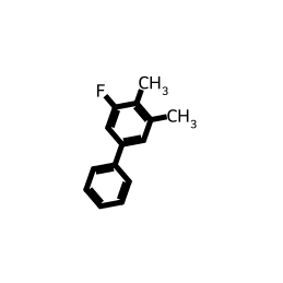 Cc1cc(-c2ccccc2)cc(F)c1C